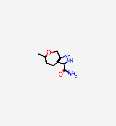 CC1CCC2=C(CO1)NNC2C(N)=O